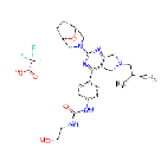 CC(C)CN1Cc2nc(N3CC4CCC(C3)O4)nc(-c3ccc(NC(=O)NCCO)cc3)c2C1.O=C(O)C(F)(F)F